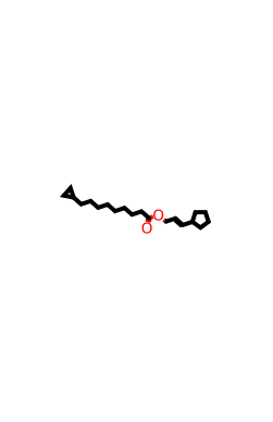 O=C(CCCCCCCCC1CC1)OC/C=C/C1CCCC1